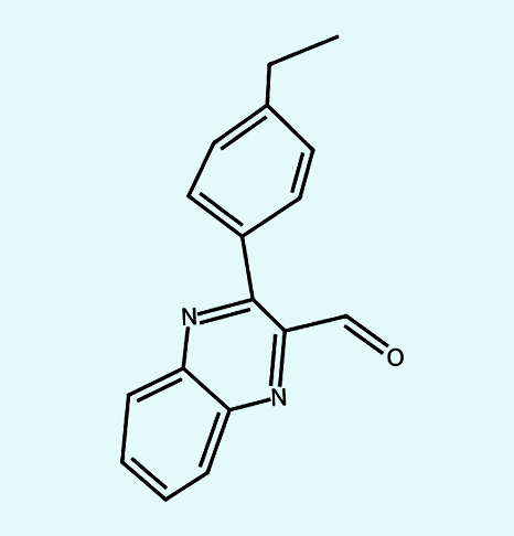 CCc1ccc(-c2nc3ccccc3nc2C=O)cc1